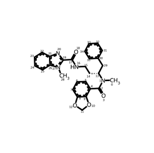 CN(C(=O)c1cccc2c1OCO2)[C@H](CCNC(=O)c1nc2ccccc2n1C)Cc1ccccc1